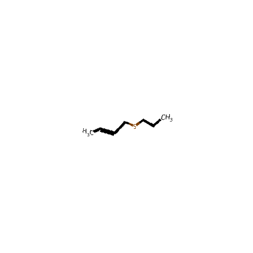 CC=CCSCCC